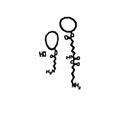 Cl.NCCCCCC(=O)OC(=O)NCCCCCC(=O)OC1CCCCCCCCCCC1.NCCCCCC(=O)OC1CCCCCCCCCCC1